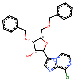 O[C@H]1C(c2cnc3c(Cl)nccn23)O[C@H](COCc2ccccc2)[C@H]1OCc1ccccc1